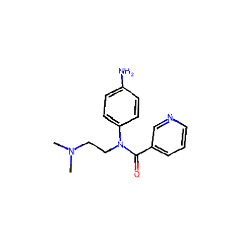 CN(C)CCN(C(=O)c1cccnc1)c1ccc(N)cc1